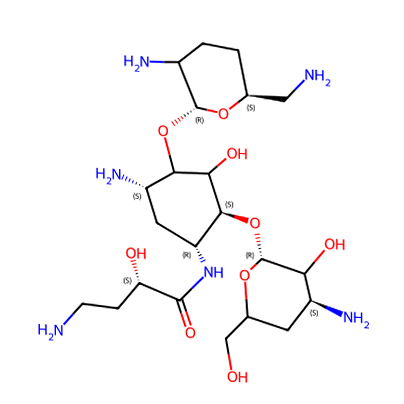 NCC[C@H](O)C(=O)N[C@@H]1C[C@H](N)C(O[C@H]2O[C@H](CN)CCC2N)C(O)[C@H]1O[C@H]1OC(CO)C[C@H](N)C1O